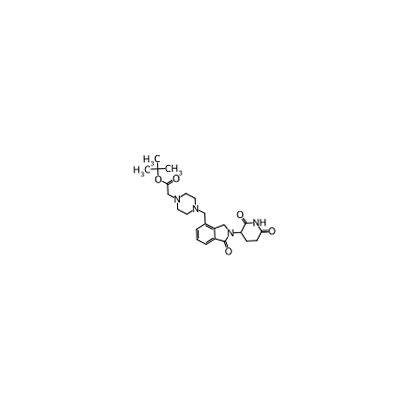 CC(C)(C)OC(=O)CN1CCN(Cc2cccc3c2CN(C2CCC(=O)NC2=O)C3=O)CC1